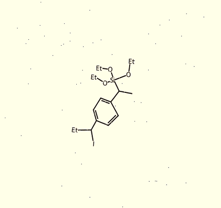 CCO[Si](OCC)(OCC)C(C)c1ccc(C(I)CC)cc1